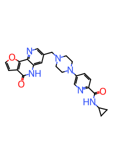 O=C(NC1CC1)c1ccc(N2CCN(Cc3cnc4c(c3)[nH]c(=O)c3ccoc34)CC2)cn1